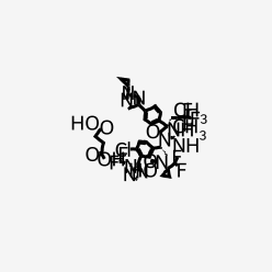 CC(C)(C[C@]1(c2ccc(-c3cnn(C4CC4)n3)cc2)NC(=N)N([C@H](CN(C(=O)O)C2(C(F)F)CC2)c2ccc(Cl)c(-c3ncnn3C(F)F)c2)C1=O)C(F)(F)F.O=C(O)CCC(=O)O